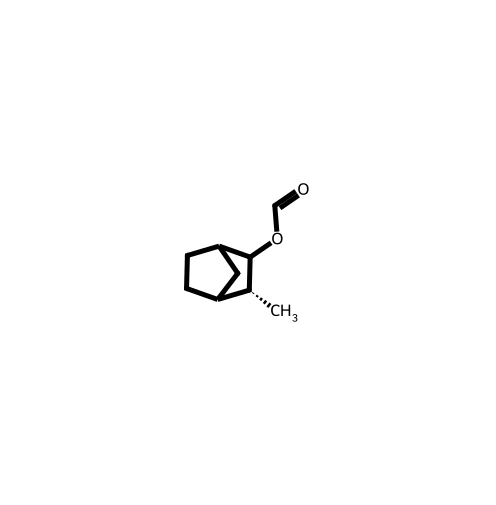 C[C@@H]1C2CCC(C2)C1OC=O